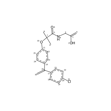 C=C(O)CNC(=O)C(C)(C)Oc1ccc(C(=C)c2ccc(Cl)cc2)cc1